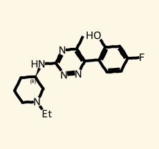 CCN1CCC[C@@H](Nc2nnc(-c3ccc(F)cc3O)c(C)n2)C1